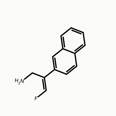 NCC(=CF)c1ccc2ccccc2c1